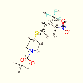 CC(C)(C)OC(=O)N1CCC(Sc2ccc([N+](=O)[O-])c(C(F)(F)F)c2)CC1